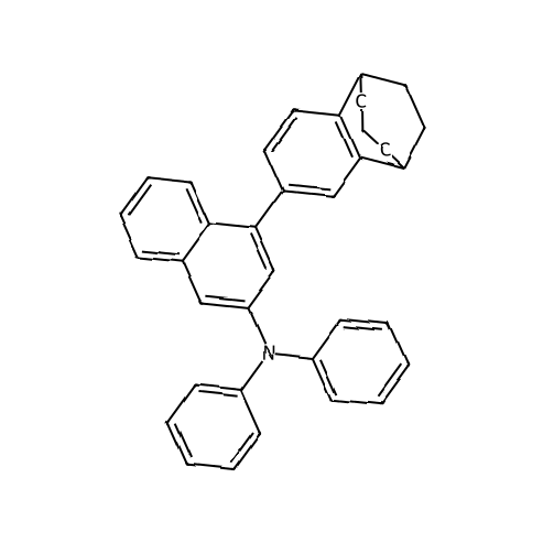 c1ccc(N(c2ccccc2)c2cc(-c3ccc4c(c3)C3CCCC4CC3)c3ccccc3c2)cc1